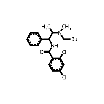 CCC(C)CN(C)C(C)C(NC(=O)c1ccc(Cl)cc1Cl)c1ccccc1